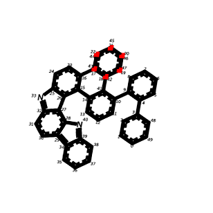 c1ccc(-c2ccccc2-c2cccc(-c3c(-c4ccccc4)ccc4c3-c3c5c(ccc3=N4)=c3ccccc3=N5)c2-c2ccccc2)cc1